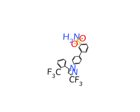 NS(=O)(=O)c1cccc(-c2ccc(-n3nc(C(F)(F)F)cc3-c3ccccc3C(F)(F)F)cc2)c1